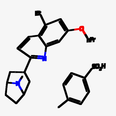 CCCOc1cc(CC)c2ccc(C3CC4CCC(C3)N4C)nc2c1.Cc1ccc(S(=O)(=O)O)cc1